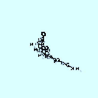 COCCOCCOCCOC(=O)CCSN[C@H]1CC[C@]2(C)[C@H]3C(=O)C=C4[C@@H]5C[C@@](C)(C(=O)OCc6ccccc6)CC[C@]5(C)CC[C@@]4(C)[C@]3(C)CC[C@H]2C1(C)C